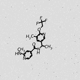 CNc1cc(C(=O)NC(C)c2cnc(OCC(F)(F)F)c(C)c2)ccn1